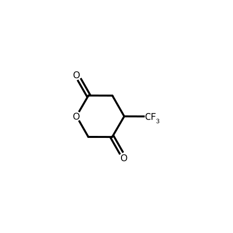 O=C1CC(C(F)(F)F)C(=O)CO1